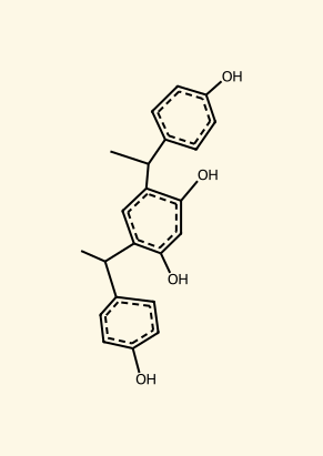 CC(c1ccc(O)cc1)c1cc(C(C)c2ccc(O)cc2)c(O)cc1O